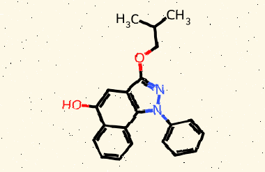 CC(C)COc1nn(-c2ccccc2)c2c1cc(O)c1ccccc12